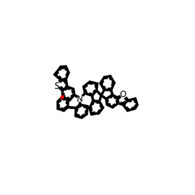 c1ccc(-c2ccccc2N(c2ccc3sc4ccccc4c3c2)c2cccc3c2-c2ccccc2C32c3ccccc3-c3c2ccc2c3oc3ccccc32)cc1